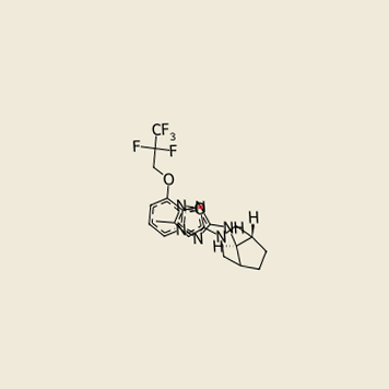 Cc1cc(N2CC3CC[C@@H](C2)[C@@H]3Nc2nc3c(OCC(F)(F)C(F)(F)F)cccn3n2)on1